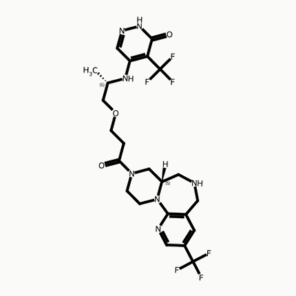 C[C@@H](COCCC(=O)N1CCN2c3ncc(C(F)(F)F)cc3CNC[C@H]2C1)Nc1cn[nH]c(=O)c1C(F)(F)F